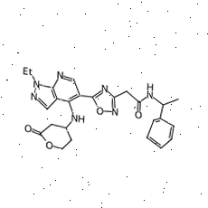 CCn1ncc2c(NC3CCOC(=O)C3)c(-c3nc(CC(=O)NC(C)c4ccccc4)no3)cnc21